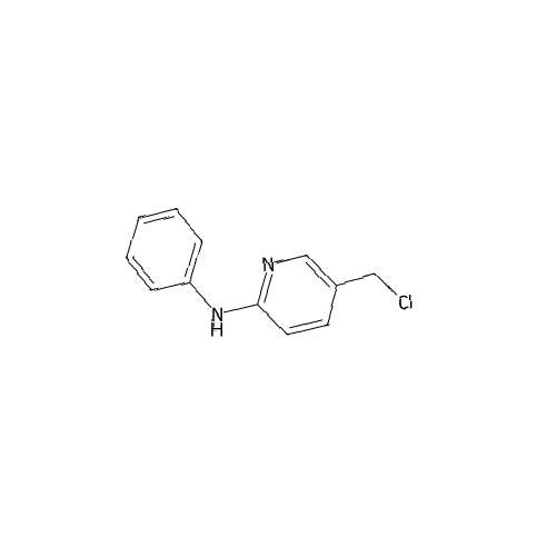 ClCc1ccc(Nc2ccccc2)nc1